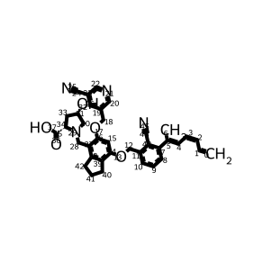 C=C/C=C\C=C(/C)c1cccc(COc2cc(OCc3cncc(C#N)c3)c(CN3C[C@H](O)C[C@H]3C(=O)O)c3c2CCC3)c1C#N